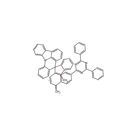 C=C(/C=C\C1=C(C)c2ccccc2C12c1ccccc1-n1c3ccccc3c3cccc2c31)c1ccc(-c2nc(-c3ccccc3)nc(-c3ccccc3)n2)cc1